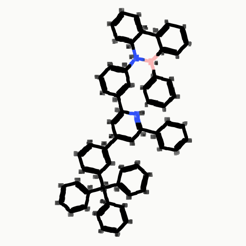 c1ccc(B2c3ccccc3-c3ccccc3N2c2cccc(-c3cc(-c4cccc([Si](c5ccccc5)(c5ccccc5)c5ccccc5)c4)cc(-c4ccccc4)n3)c2)cc1